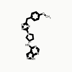 COc1ccc(Cc2nc(N3CC[C@H](Nc4ncnc5[nH]ncc45)C3)no2)cc1